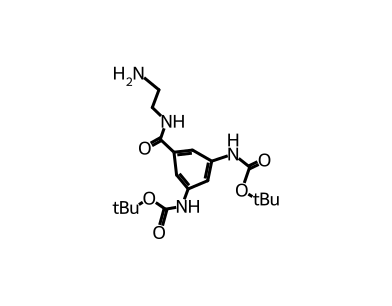 CC(C)(C)OC(=O)Nc1cc(NC(=O)OC(C)(C)C)cc(C(=O)NCCN)c1